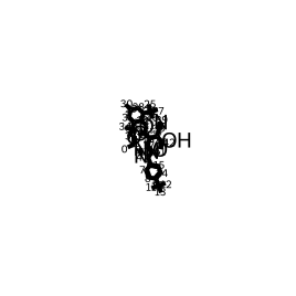 CC(=O)n1nc(-c2ccc(C(C)(C)C)cc2)nc1C(C(=O)OC1C(C(C)(C)C)CC(C)CC1C(C)(C)C)C(C#N)C(=O)O